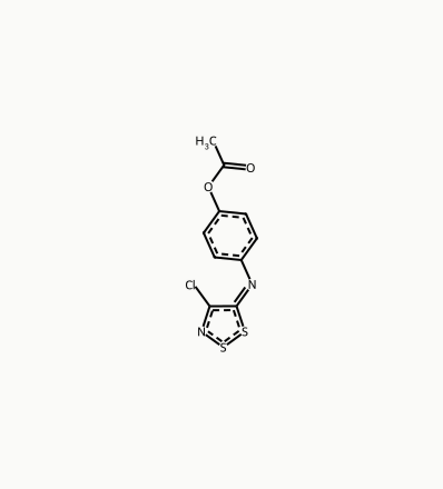 CC(=O)Oc1ccc(N=c2ssnc2Cl)cc1